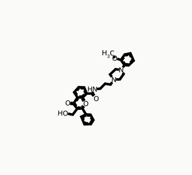 COc1ccccc1N1CCN(CCCNC(=O)c2cccc3c(=O)c(CO)c(-c4ccccc4)oc23)CC1